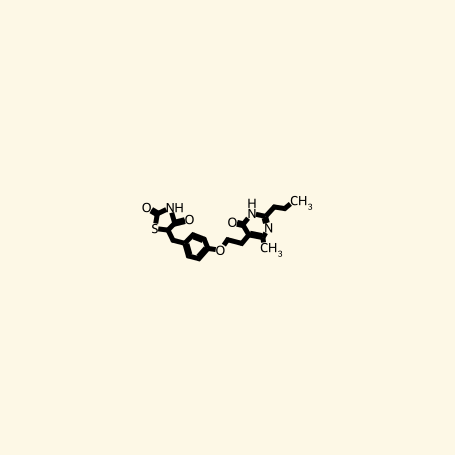 CCCc1nc(C)c(CCOc2ccc(CC3SC(=O)NC3=O)cc2)c(=O)[nH]1